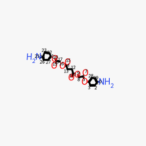 Nc1ccc(OC(=O)COC(=O)CCC(=O)OCC(=O)Oc2ccc(N)cc2)cc1